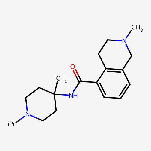 CC(C)N1CCC(C)(NC(=O)c2cccc3c2CCN(C)C3)CC1